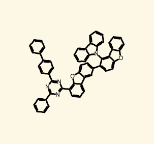 c1ccc(-c2ccc(-c3nc(-c4ccccc4)nc(-c4cccc5c4oc4ccc(-c6ccc7oc8ccccc8c7c6-n6c7ccccc7c7ccccc76)cc45)n3)cc2)cc1